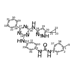 Cc1ccc(NC(=O)Nc2ccc(Nc3nc(Nc4cc(C5CC5)[nH]n4)nc(-c4ccccc4)n3)cc2)cc1